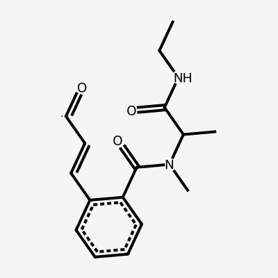 CCNC(=O)C(C)N(C)C(=O)c1ccccc1/C=C/[C]=O